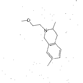 COCCN1Cc2cc(C)ccc2CC1C